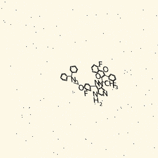 CC(c1oc2cccc(F)c2c(=O)c1-c1cccc(F)c1)n1nc(-c2ccc(OC3CN(C(c4ccccc4)c4ccccc4)C3)c(F)c2)c2c(N)cncc21